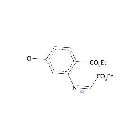 CCOC(=O)/C=N\c1cc(Cl)ccc1C(=O)OCC